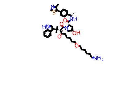 Cc1ncsc1-c1ccc([C@H](C)NC(=O)[C@@H]2C[C@@H](O)CN2C(=O)[C@@H](C(=O)CCCCCOCCCCCCN)C(C)(C)c2c[nH]c3ccccc23)cc1